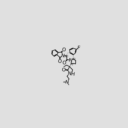 CCC(CC)(C(=O)NCCN(C)C)[C@H]1CC[C@@H](c2cccc(F)c2)N1C(=O)[C@@H](C)N1C(=O)c2ccccc2C1=O